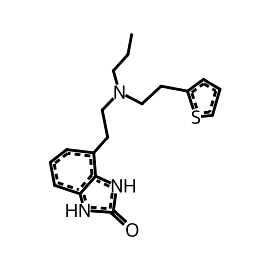 CCCN(CCc1cccs1)CCc1cccc2[nH]c(=O)[nH]c12